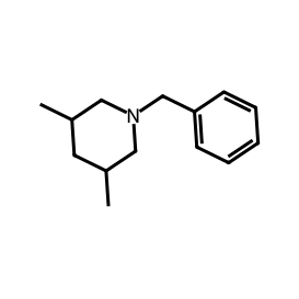 CC1CC(C)CN(Cc2ccccc2)C1